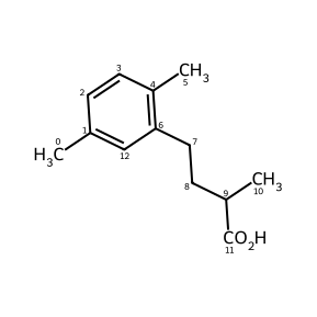 Cc1ccc(C)c(CCC(C)C(=O)O)c1